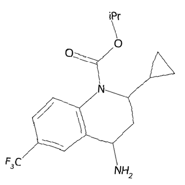 CC(C)OC(=O)N1c2ccc(C(F)(F)F)cc2C(N)CC1C1CC1